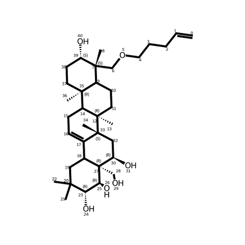 C=CCCCOC[C@]1(C)C2CC[C@]3(C)C(CC=C4C5CC(C)(C)[C@@H](O)[C@H](O)[C@]5(CO)[C@H](O)C[C@]43C)[C@@]2(C)CC[C@@H]1O